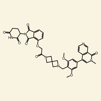 COc1cc(-c2cn(C)c(=O)c3cnccc23)cc(OC)c1CN1CC2(C1)CN(C(=O)COc1cccc3c1C(=O)N(C1CCC(=O)NC1=O)C3=O)C2